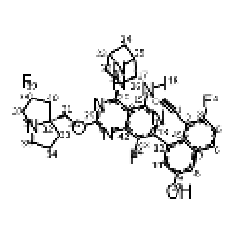 C#Cc1c(F)ccc2cc(O)cc(-c3nc(N(C)I)c4c(N5CC6CC(C5)N6)nc(OC[C@@]56CCCN5C[C@H](F)C6)nc4c3F)c12